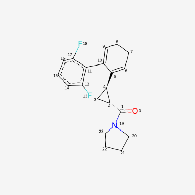 O=C([C@@H]1C[C@H]1C1=CCCC=C1c1c(F)cccc1F)N1CCCC1